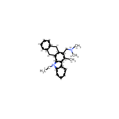 CCn1c2ccccc2c2c(C)c(CN(C)C)c3c(c21)Cc1ccccc1C3